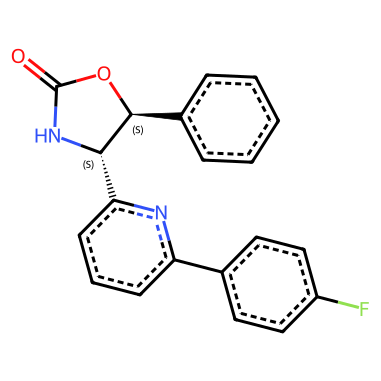 O=C1N[C@@H](c2cccc(-c3ccc(F)cc3)n2)[C@H](c2ccccc2)O1